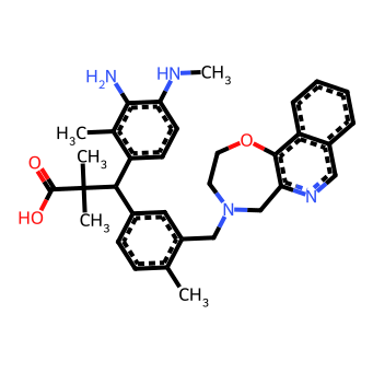 CNc1ccc(C(c2ccc(C)c(CN3CCOc4c(ncc5ccccc45)C3)c2)C(C)(C)C(=O)O)c(C)c1N